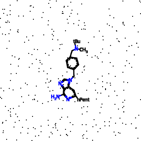 CCCCCc1cc2c(ncn2Cc2ccc(CN(C)C(C)(C)C)cc2)c(N)n1